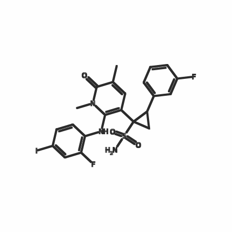 Cc1cc(C2(S(N)(=O)=O)CC2c2cccc(F)c2)c(Nc2ccc(I)cc2F)n(C)c1=O